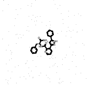 NC(=O)[C@H](Cc1ccccc1)NC(=O)c1ncccc1-c1cc(-c2ccccc2)[nH]n1